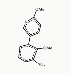 COc1ccc(-c2cccc([N+](=O)[O-])c2OC)cn1